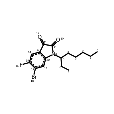 CCCCCC(CC)N1C(=O)C(=O)c2cc(F)c(Br)cc21